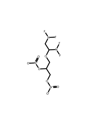 O=[N+]([O-])OCC(COC(CN(F)F)N(F)F)O[N+](=O)[O-]